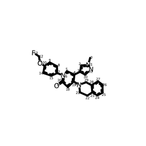 Cn1cc(-c2cn(-c3ccc(OCF)cc3)c(=O)cc2N2CCc3ccccc3C2)cn1